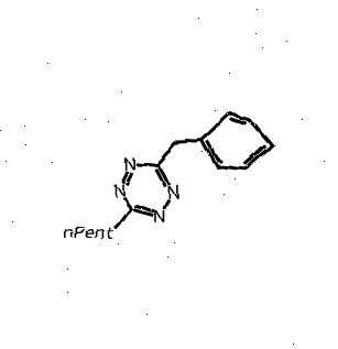 CCCCCc1nnc(Cc2ccccc2)nn1